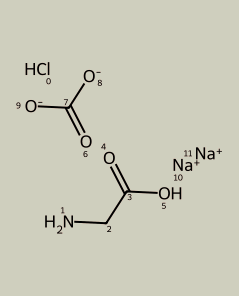 Cl.NCC(=O)O.O=C([O-])[O-].[Na+].[Na+]